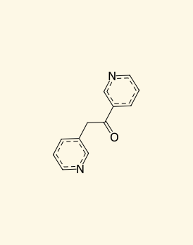 O=C(Cc1cccnc1)c1cccnc1